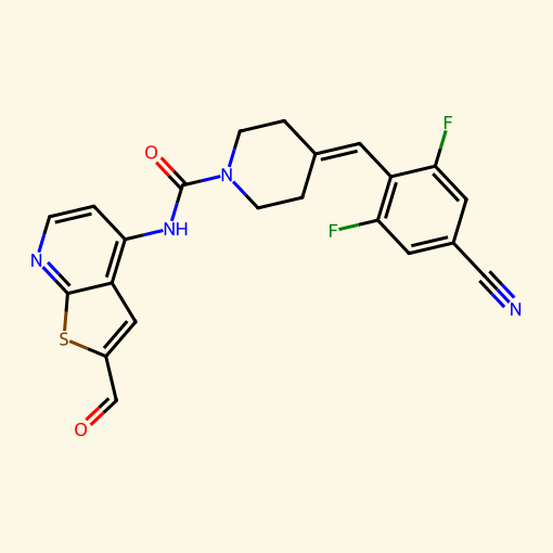 N#Cc1cc(F)c(C=C2CCN(C(=O)Nc3ccnc4sc(C=O)cc34)CC2)c(F)c1